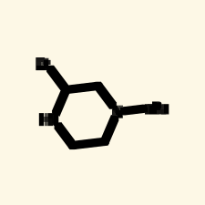 CCCCN1CCNC(CC)C1